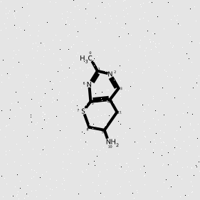 Cc1ncc2c(n1)SCC(N)C2